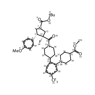 COc1ccc([C@@H]2CN(C(=O)OC(C)(C)C)C[C@@]2(F)C(=O)N2CCC(c3ccc(C(F)(F)F)cc3N3CCC(C(=O)OI)CC3)CC2)cc1